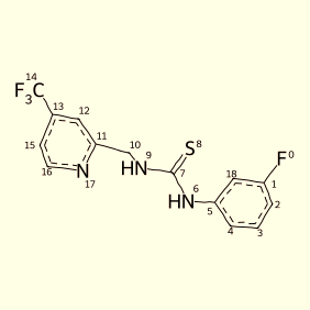 Fc1cccc(NC(=S)NCc2cc(C(F)(F)F)ccn2)c1